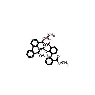 CCOC(=O)c1cccc(-c2ccccc2C(=O)OC)c1OC(=O)Oc1c(C(=O)OCC)cccc1-c1ccccc1C(=O)OC